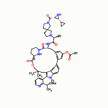 CCn1c(-c2cccnc2[C@H](C)OC)c2c3cc(ccc31)-c1cc(cc(OC(=O)C(C)C)c1)C[C@H](NC(=O)[C@H](C(C)C)N1CC[C@]3(CCN(C(=O)[C@@H]4N[C@@H]4C4CC4)C3)C1)C(=O)N1CCC[C@H](N1)C(=O)OCC(C)(C)C2